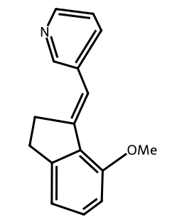 COc1cccc2c1C(=Cc1cccnc1)CC2